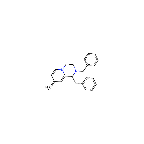 C=C1C=CN2CCN(Cc3ccccc3)C(Cc3ccccc3)C2=C1